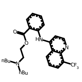 CCCCN(CCCC)CCOC(=O)c1ccccc1Nc1ccnc2c(C(F)(F)F)cccc12